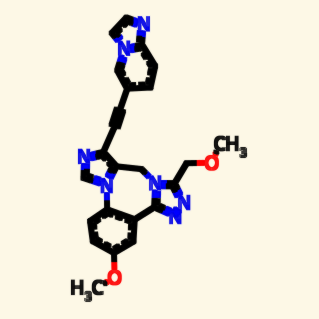 COCc1nnc2n1Cc1c(C#Cc3ccc4nccn4c3)ncn1-c1ccc(OC)cc1-2